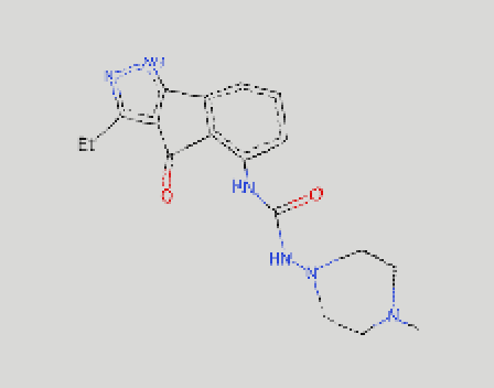 CCc1n[nH]c2c1C(=O)c1c(NC(=O)NN3CCN(C)CC3)cccc1-2